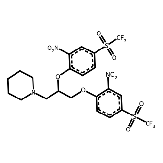 O=[N+]([O-])c1cc(S(=O)(=O)C(F)(F)F)ccc1OCC(CN1CCCCC1)Oc1ccc(S(=O)(=O)C(F)(F)F)cc1[N+](=O)[O-]